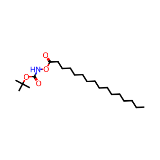 CCCCCCCCCCCCCCCC(=O)ONC(=O)OC(C)(C)C